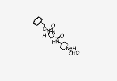 O=CBN1CCC(NC(=O)[C@@H]2C[C@@H]3CN2C(=O)N3OCc2ccccc2)CC1